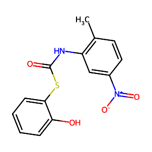 Cc1ccc([N+](=O)[O-])cc1NC(=O)Sc1ccccc1O